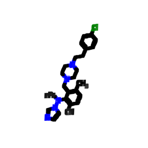 CCCN(c1c(C#N)ccc(C)c1CN1CCN(CCc2ccc(Cl)cc2)CC1)n1ccnc1